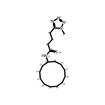 Cn1nnnc1CCCC(=S)NC1CCCCCCCCCCC1